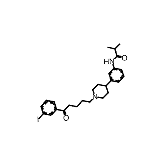 CC(C)C(=O)Nc1cccc(C2CCN(CCCCC(=O)c3cccc(I)c3)CC2)c1